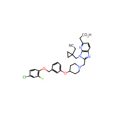 N#CCC1(Cn2c(CN3CCC(Oc4cccc(COc5ccc(Cl)cc5F)c4)CC3)nc3ccc(CC(=O)O)nc32)CC1